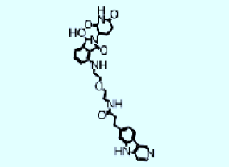 O=C(CCc1ccc2c(c1)[nH]c1ccncc12)NCCOCCNc1cccc2c1C(=O)N(C1CCC(=O)NC1=O)C2O